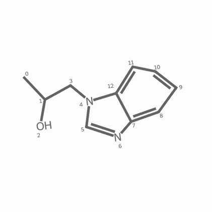 CC(O)Cn1cnc2ccccc21